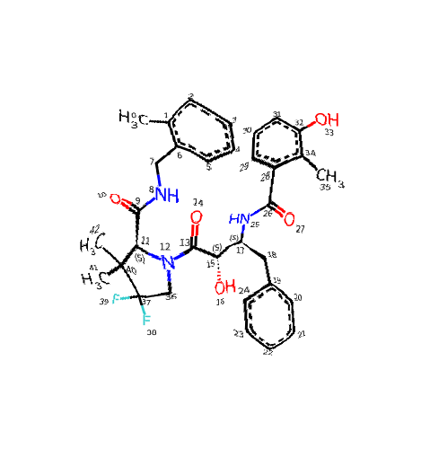 Cc1ccccc1CNC(=O)[C@H]1N(C(=O)[C@@H](O)[C@H](Cc2ccccc2)NC(=O)c2cccc(O)c2C)CC(F)(F)C1(C)C